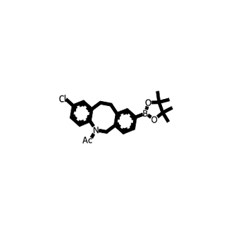 CC(=O)N1Cc2ccc(B3OC(C)(C)C(C)(C)O3)cc2CCc2cc(Cl)ccc21